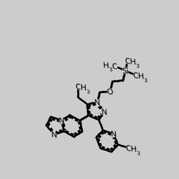 CCc1c(-c2ccc3nccn3c2)c(-c2cccc(C)n2)nn1COCC[Si](C)(C)C